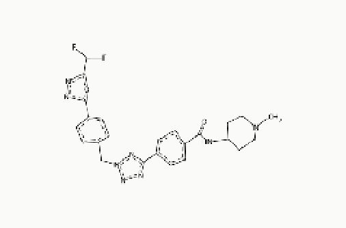 CN1CCC(NC(=O)c2ccc(-c3nnn(Cc4ccc(-c5nnc(C(F)F)o5)cc4)n3)cc2)CC1